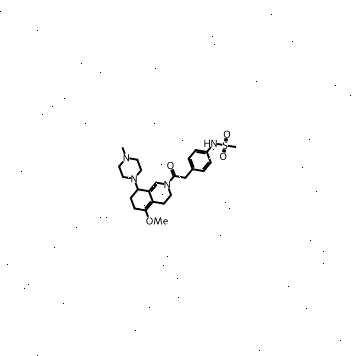 COC1=C2CCN(C(=O)Cc3ccc(NS(C)(=O)=O)cc3)C=C2C(N2CCN(C)CC2)CC1